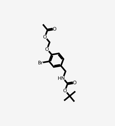 CC(=O)OCOc1ccc(CNC(=O)OC(C)(C)C)cc1Br